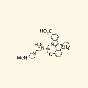 CNC1CCN(CCN(C)[C@H]2COc3cccc(C)c3-c3c(C4CCCCC4)c4ccc(C(=O)O)cc4n3C2)C1